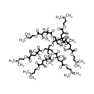 CN(C)CCOC(=O)C(Br)CC(C)(C)C(=O)OCC(COCC(COC(=O)C(C)(C)CC(Br)C(=O)OCCN(C)C)(COC(=O)C(C)(C)CC(Br)C(=O)OCCN(C)C)COC(=O)C(C)(C)CC(Br)C(=O)OCCN(C)C)(COC(=O)C(C)(C)CC(Br)C(=O)OCCN(C)C)COC(=O)C(C)(C)CC(Br)C(=O)OCCN(C)C